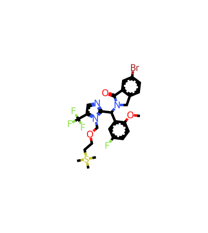 COc1ccc(F)cc1C(c1ncc(C(F)(F)F)n1COCCS(C)(C)C)N1Cc2ccc(Br)cc2C1=O